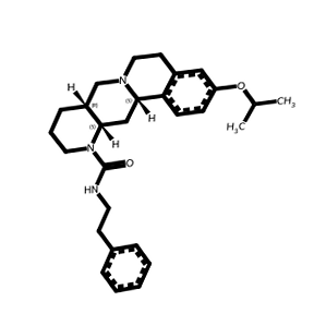 CC(C)Oc1ccc2c(c1)CCN1C[C@H]3CCCN(C(=O)NCCc4ccccc4)[C@H]3C[C@@H]21